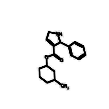 CC1CCCC(OC(=O)C2=CCNC2c2ccccc2)C1